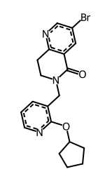 O=C1c2cc(Br)cnc2CCN1Cc1cccnc1OC1CCCC1